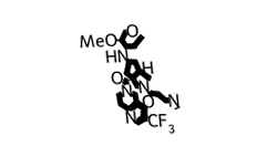 CO[C@@H]1COCC[C@@H]1N[C@@H]1C[C@H]2CN(C(=O)CCN(C)C)C[C@@]2(C(=O)N2CCc3ncc(C(F)(F)F)cc3C2)C1